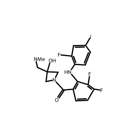 CNCC1(O)CN(C(=O)c2ccc(F)c(F)c2Nc2ccc(I)cc2F)C1